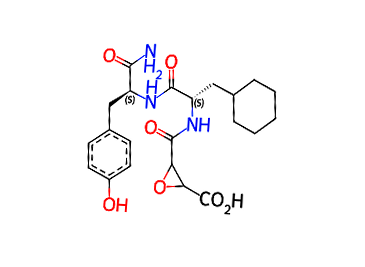 NC(=O)[C@H](Cc1ccc(O)cc1)NC(=O)[C@H](CC1CCCCC1)NC(=O)C1OC1C(=O)O